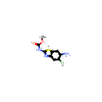 CC(C)(C)OC(=O)Nc1nc2cc(Cl)c(N)cc2s1